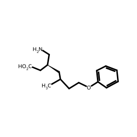 CC(CCOc1ccccc1)C[C@H](CN)CC(=O)O